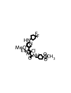 CCn1nc(C(=O)NCC2CCC(S(C)(=O)=O)CC2)c(Cl)c1-c1cnc(NC2CCC(F)(F)CC2)cc1OC